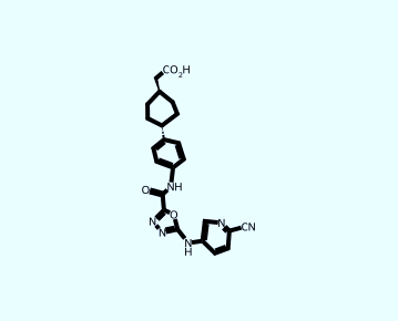 N#Cc1ccc(Nc2nnc(C(=O)Nc3ccc([C@H]4CC[C@H](CC(=O)O)CC4)cc3)o2)cn1